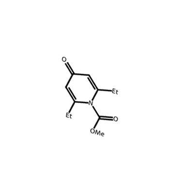 CCc1cc(=O)cc(CC)n1C(=O)OC